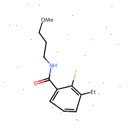 CCc1cccc(C(=O)NCCCOC)c1F